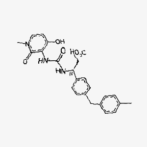 Cc1ccc(Cc2ccc([C@H](CC(=O)O)NC(=O)Nc3c(O)ccn(C)c3=O)cc2)cc1